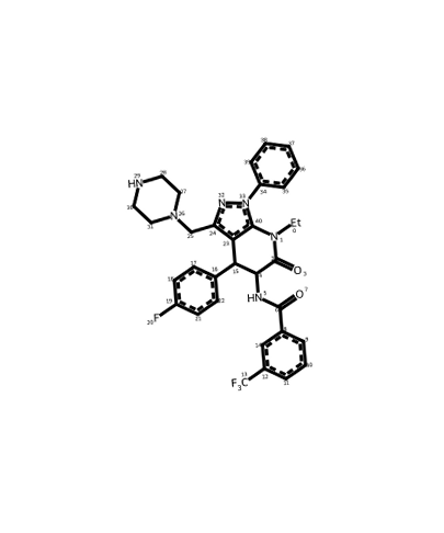 CCN1C(=O)C(NC(=O)c2cccc(C(F)(F)F)c2)C(c2ccc(F)cc2)c2c(CN3CCNCC3)nn(-c3ccccc3)c21